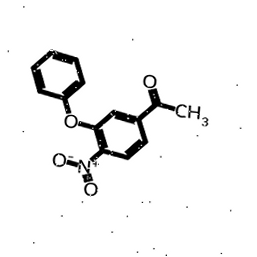 CC(=O)c1ccc([N+](=O)[O-])c(Oc2ccccc2)c1